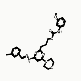 COc1cccc(NC(=O)OCCCc2nc(NN=Cc3cccc(C)c3)cc(N3CCOCC3)n2)c1